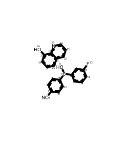 N#Cc1ccc(B(O)c2cccc(F)c2)cc1.Oc1cccc2cccnc12